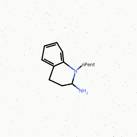 CCCCCN1c2ccccc2CCC1N